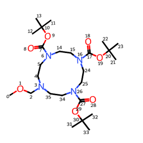 COCN1CCN(C(=O)OC(C)(C)C)CCN(C(=O)OC(C)(C)C)CCN(C(=O)OC(C)(C)C)CC1